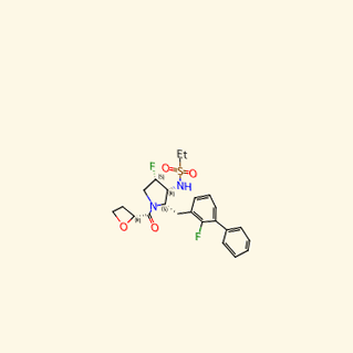 CCS(=O)(=O)N[C@H]1[C@@H](F)CN(C(=O)[C@H]2CCO2)[C@H]1Cc1cccc(-c2ccccc2)c1F